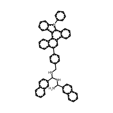 NC(NC(NCc1ccc(-c2cc3c4ccccc4c4c(c5ccccc5n4-c4ccccc4)c3c3ccccc23)cc1)c1ccc2ccccc2c1)c1ccc2ccccc2c1